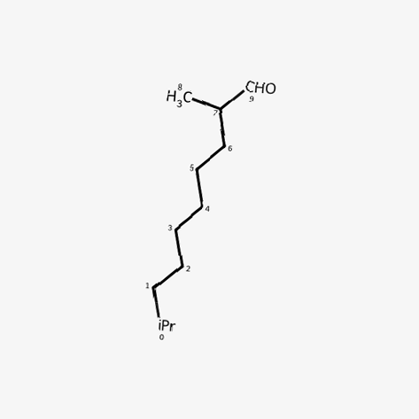 CC(C)CCCCCCC(C)C=O